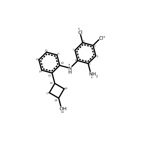 Nc1cc(Cl)c(Cl)cc1Nc1ccccc1C1CC(O)C1